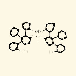 CCCCc1ccccc1-c1ccc(OPOc2ccc(-c3ccccc3CCCC)c(-c3ccccc3)c2-c2ccccc2CCCC)c(-c2ccccc2CCCC)c1-c1ccccc1